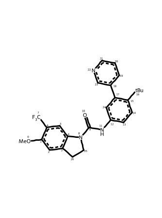 COc1cc2c(cc1C(F)(F)F)N(C(=O)Nc1ccc(C(C)(C)C)c(-c3cccnc3)c1)CC2